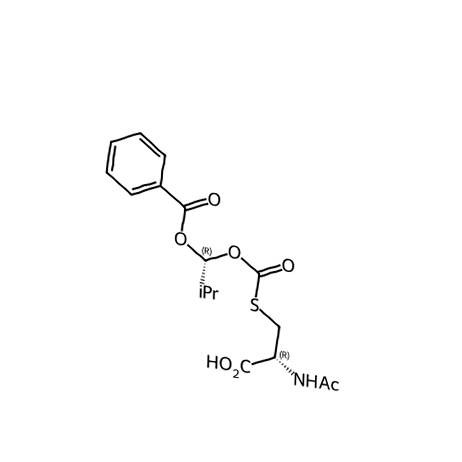 CC(=O)N[C@@H](CSC(=O)O[C@@H](OC(=O)c1ccccc1)C(C)C)C(=O)O